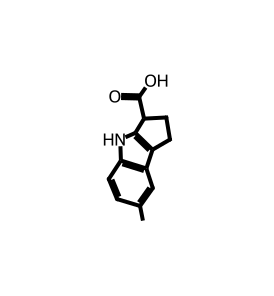 Cc1ccc2[nH]c3c(c2c1)CCC3C(=O)O